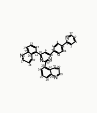 c1ccc(-c2ccc(-c3cc(-c4cccc5ncccc45)nc(-c4cccc5ncccc45)n3)cc2)nc1